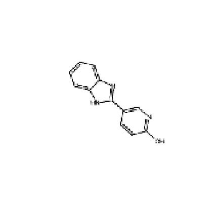 Oc1ccc(-c2nc3ccccc3[nH]2)cn1